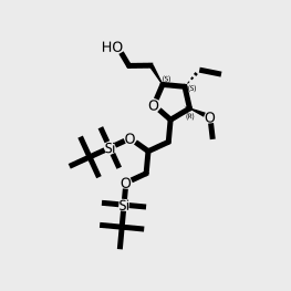 CC[C@H]1[C@H](CCO)OC(CC(CO[Si](C)(C)C(C)(C)C)O[Si](C)(C)C(C)(C)C)[C@@H]1OC